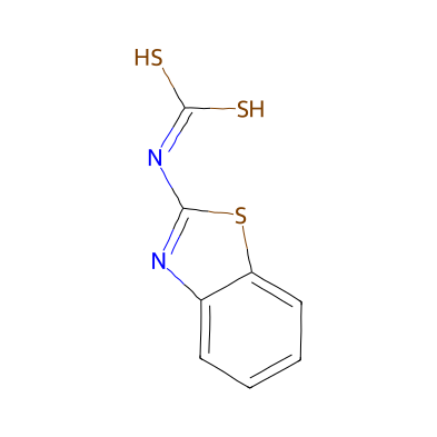 SC(S)=Nc1nc2ccccc2s1